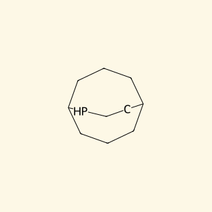 C1CC2CCCC(C1)PCC2